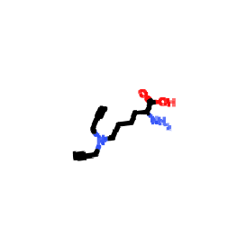 C#CCN(CC#C)CCCC[C@H](N)C(=O)O